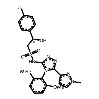 COc1cccc(OC)c1-n1c(NS(=O)(=O)C[C@H](O)c2ccc(Cl)cc2)nnc1-c1ccn(C)n1